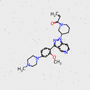 C=CC(=O)N1CCCC(n2nc(-c3ccc(N4CCN(C)CC4)cc3OC)c3cnccc32)C1